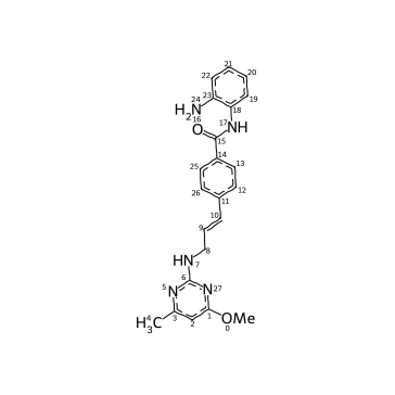 COc1cc(C)nc(NCC=Cc2ccc(C(=O)Nc3ccccc3N)cc2)n1